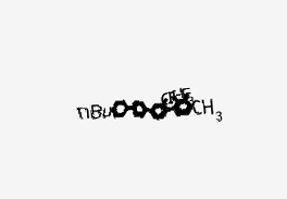 CCCCC1CCC(c2ccc(-c3ccc(-c4ccc(C)c(F)c4F)c(C)c3)cc2)CC1